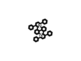 c1ccc(-c2ccc(-c3ccccc3)c(-c3ccccc3-c3ccccc3-c3nc(-c4ccccc4)ccc3-c3ccccc3)n2)cc1